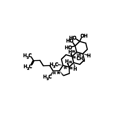 C=C(C)CCC[C@@H](C)[C@H]1CC[C@H]2[C@@H]3CC[C@@H]4CCC(O)(O)C(O)(O)[C@]4(C)[C@H]3CC[C@]12C